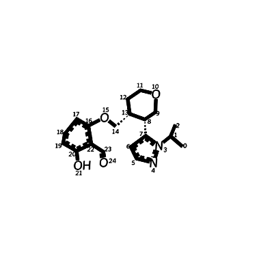 CC(C)n1nccc1[C@H]1COCC[C@H]1COc1cccc(O)c1C=O